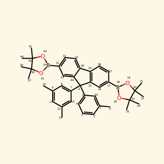 Cc1cccc(C2(c3cc(C)cc(C)c3)c3cc(B4OC(C)(C)C(C)(C)O4)ccc3-c3ccc(B4OC(C)(C)C(C)(C)O4)cc32)c1